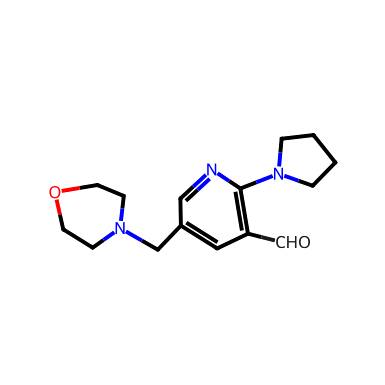 O=Cc1cc(CN2CCOCC2)cnc1N1CCCC1